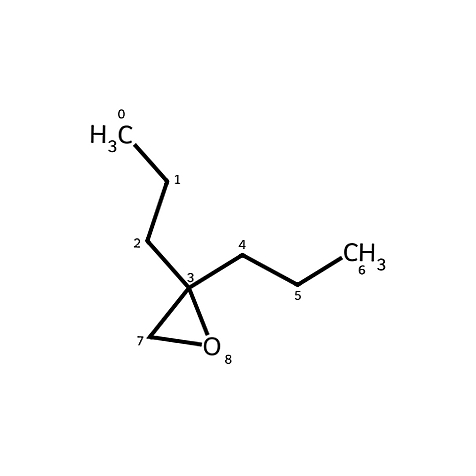 CCCC1(CCC)CO1